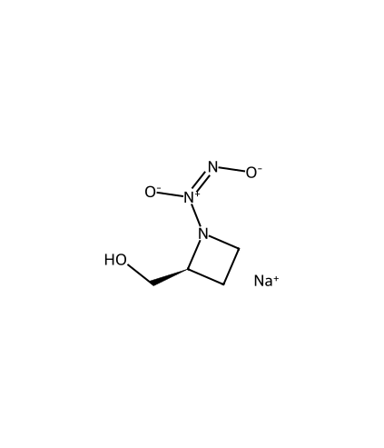 [Na+].[O-]/N=[N+](/[O-])N1CC[C@H]1CO